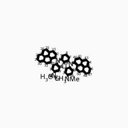 CNc1ccc(N(c2cccc(N(c3ccc(N(C)C)cc3)c3ccc4ccc5cccc6ccc3c4c56)c2Cl)c2ccc3ccc4cccc5ccc2c3c45)cc1